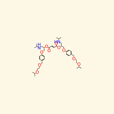 CC(C)NCC(COc1ccc(COCCOC(C)C)cc1)OC(=O)/C=C/C(=O)OC(CNC(C)C)COc1ccc(COCCOC(C)C)cc1